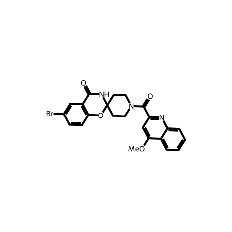 COc1cc(C(=O)N2CCC3(CC2)NC(=O)c2cc(Br)ccc2O3)nc2ccccc12